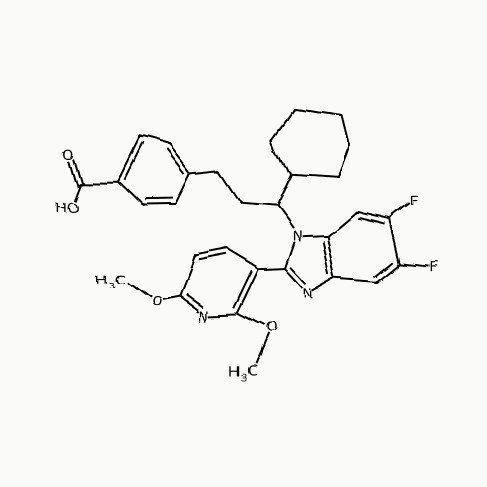 COc1ccc(-c2nc3cc(F)c(F)cc3n2C(CCc2ccc(C(=O)O)cc2)C2CCCCC2)c(OC)n1